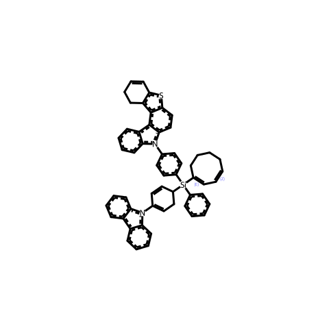 C1=Cc2sc3ccc4c(c5ccccc5n4-c4ccc([Si](/C5=C/C=C\CCCC5)(c5ccccc5)C5C=CC(n6c7ccccc7c7ccccc76)=CC5)cc4)c3c2CC1